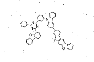 CC1(C)c2cc(-c3ccc4c(c3)c3ccccc3n4-c3cccc(-c4nc(-c5ccccc5)nc(-c5cccc6c5oc5ccccc56)n4)c3)ccc2-c2cc3c(cc21)oc1ccccc13